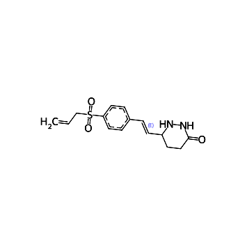 C=CCS(=O)(=O)c1ccc(/C=C/C2CCC(=O)NN2)cc1